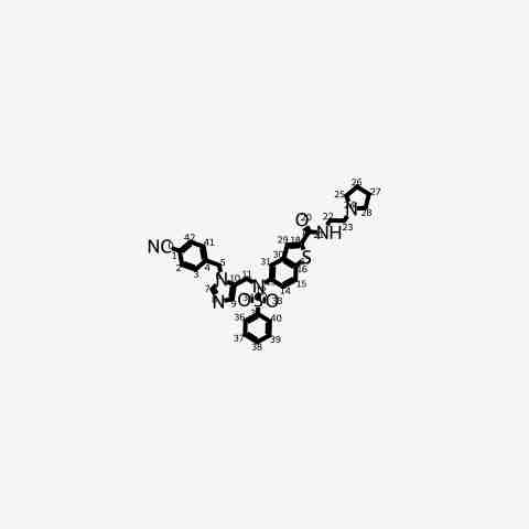 N#Cc1ccc(Cn2cncc2CN(c2ccc3sc(C(=O)NCCN4CCCC4)cc3c2)S(=O)(=O)c2ccccc2)cc1